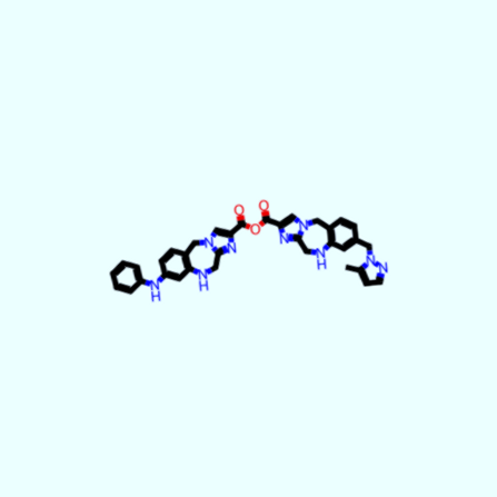 Cc1ccnn1Cc1ccc2c(c1)NCc1nc(C(=O)OC(=O)c3cn4c(n3)CNc3cc(Nc5ccccc5)ccc3C4)cn1C2